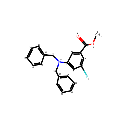 COC(=O)c1cc(F)cc(N(Cc2ccccc2)Cc2ccccc2)c1